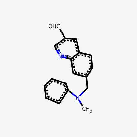 CN(Cc1ccc2cc(C=O)cnc2c1)c1ccccc1